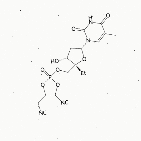 [C-]#[N+]CCOP(=O)(OC[N+]#[C-])OC[C@@]1(CC)O[C@@H](n2cc(C)c(=O)[nH]c2=O)C[C@H]1O